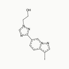 OCCn1cnc(-c2ccc3c(I)cnn3c2)n1